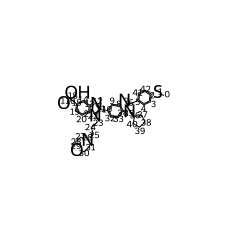 CSc1ccc(-c2nc3cc(-c4nc5cc(C(=O)O)ccc5n4CCCN4CCOCC4)ccc3n2C2CCCC2)cc1